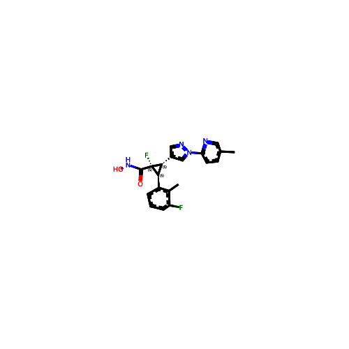 Cc1ccc(-n2cc([C@@H]3[C@@H](c4cccc(F)c4C)[C@@]3(F)C(=O)NO)cn2)nc1